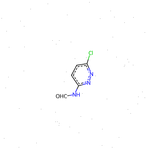 O=CNc1ccc(Cl)nn1